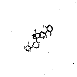 CC1(C)[C@H]2CC[C@]1([C@@H]1CN(c3ncn[nH]3)CCO1)c1nnc(-c3c(F)cccc3F)cc12